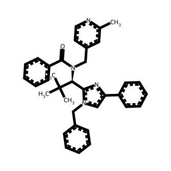 Cc1cc(CN(C(=O)c2ccccc2)[C@@H](c2nc(-c3ccccc3)cn2Cc2ccccc2)C(C)(C)C)ccn1